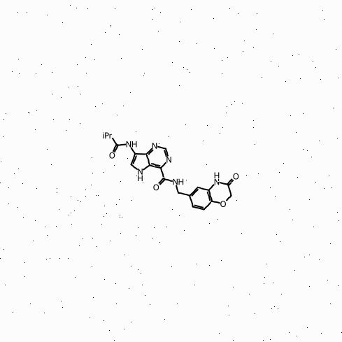 CC(C)C(=O)Nc1c[nH]c2c(C(=O)NCc3ccc4c(c3)NC(=O)CO4)ncnc12